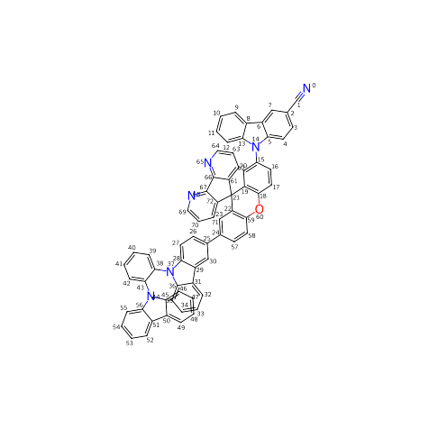 N#Cc1ccc2c(c1)c1ccccc1n2-c1ccc2c(c1)C1(c3cc(-c4ccc5c(c4)c4ccccc4n5-c4ccccc4-n4c5ccccc5c5ccccc54)ccc3O2)c2cccnc2-c2ncccc21